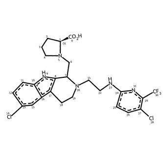 O=C(O)[C@@H]1CCCN1CC1c2[nH]c3ccc(Cl)cc3c2CCN1CCNc1ccc(Cl)c(C(F)(F)F)n1